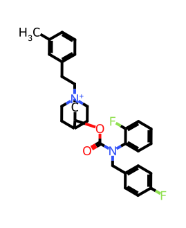 Cc1cccc(CC[N+]23CCC(CC2)C(OC(=O)N(Cc2ccc(F)cc2)c2ccccc2F)C3)c1